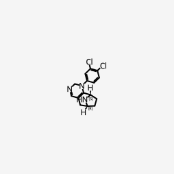 Clc1ccc(N2CN=CC3=C2[C@@H]2CC[C@H](C3)N2)cc1Cl